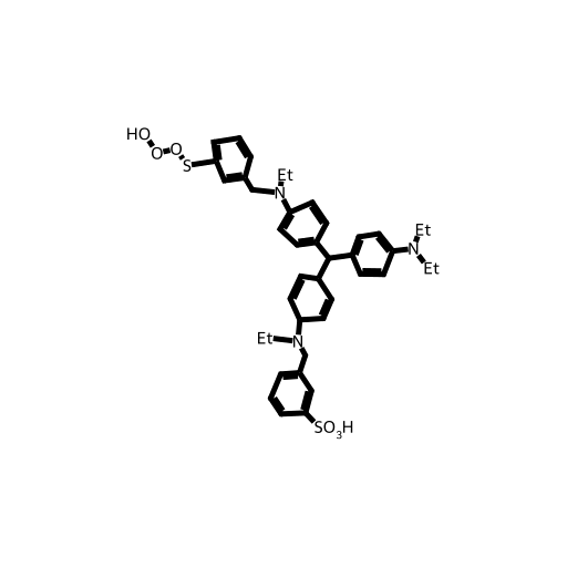 CCN(CC)c1ccc(C(c2ccc(N(CC)Cc3cccc(SOOO)c3)cc2)C2C=CC(N(CC)Cc3cccc(S(=O)(=O)O)c3)C=C2)cc1